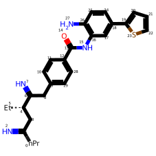 CCCC(=N)C[C@H](CC)C(=N)Cc1ccc(C(=O)Nc2cc(-c3cccs3)ccc2N)cc1